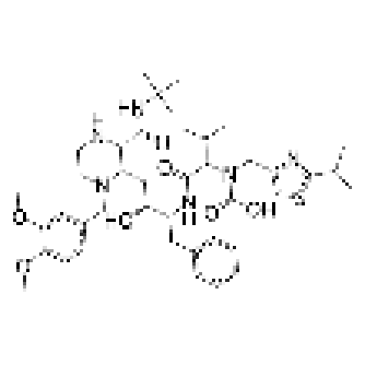 COc1ccc(CN2CCN[C@H](C(=O)NC(C)(C)C)C2C[C@H](O)[C@H](Cc2ccccc2)NC(=O)[C@H](C(C)C)N(Cc2csc(C(C)C)n2)C(=O)O)cc1OC